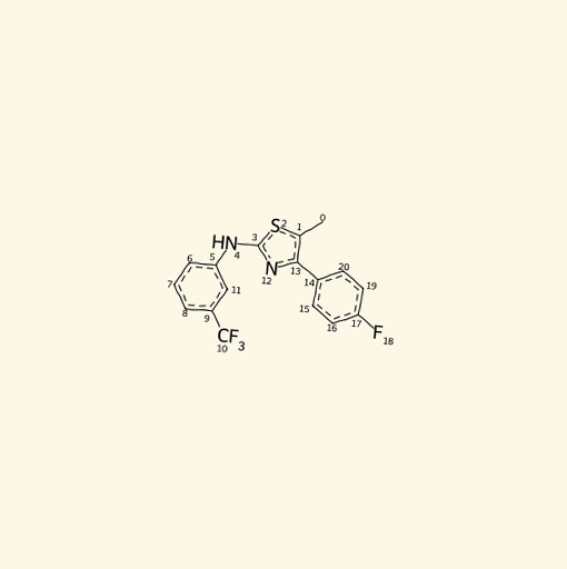 Cc1sc(Nc2cccc(C(F)(F)F)c2)nc1-c1ccc(F)cc1